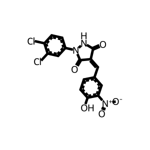 O=C1NN(c2ccc(Cl)c(Cl)c2)C(=O)C1=Cc1ccc(O)c([N+](=O)[O-])c1